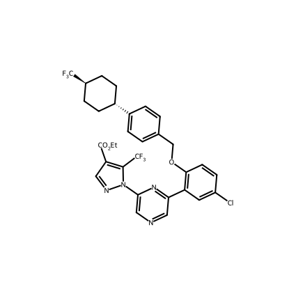 CCOC(=O)c1cnn(-c2cncc(-c3cc(Cl)ccc3OCc3ccc([C@H]4CC[C@H](C(F)(F)F)CC4)cc3)n2)c1C(F)(F)F